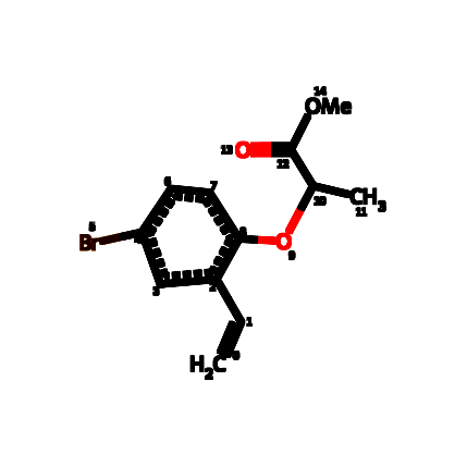 C=Cc1cc(Br)ccc1OC(C)C(=O)OC